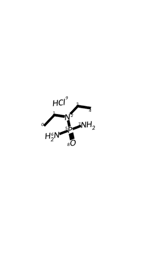 CCN(CC)P(N)(N)=O.Cl